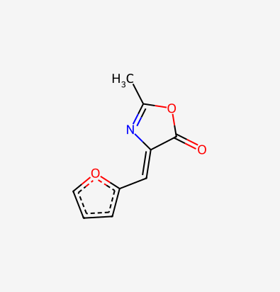 CC1=NC(=Cc2ccco2)C(=O)O1